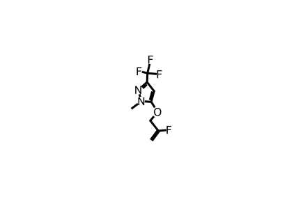 C=C(F)COc1cc(C(F)(F)F)nn1C